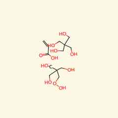 C=CC(=O)O.OCC(CO)(CO)CO.OCC(CO)(CO)COO